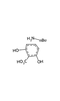 CCCCN.O=C(O)c1c(O)cccc1O